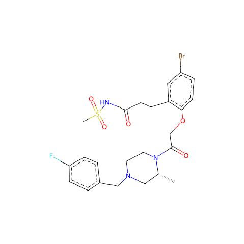 C[C@@H]1CN(Cc2ccc(F)cc2)CCN1C(=O)COc1ccc(Br)cc1CCC(=O)NS(C)(=O)=O